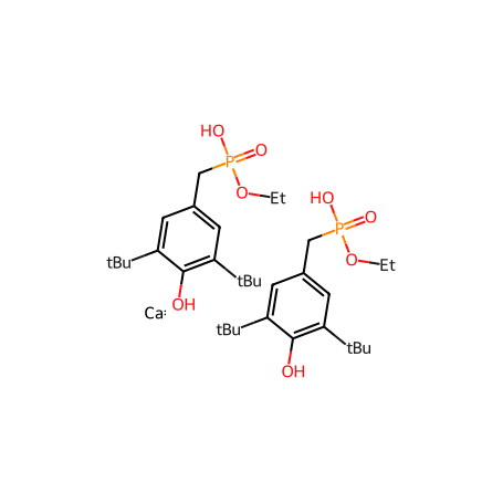 CCOP(=O)(O)Cc1cc(C(C)(C)C)c(O)c(C(C)(C)C)c1.CCOP(=O)(O)Cc1cc(C(C)(C)C)c(O)c(C(C)(C)C)c1.[Ca]